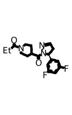 CCC(=O)N1CCC(C(=O)N2N=CC[C@H]2c2cc(F)cc(F)c2)CC1